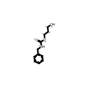 O=C(NCc1ccccc1)OCCCO